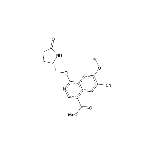 COC(=O)c1cnc(OC[C@@H]2CCC(=O)N2)c2cc(OC(C)C)c(C#N)cc12